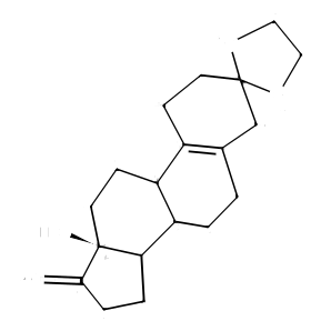 C[C@@]12CCC3C4=C(CCC3C1CCC2=O)CC1(CC4)OCCO1